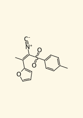 [C-]#[N+]C(=C(C)c1ccco1)S(=O)(=O)c1ccc(C)cc1